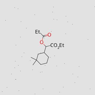 CCOC(=O)C(OC(=O)CC)C1CCCC(C)(C)C1